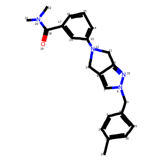 Cc1ccc(Cn2cc3c(n2)CN(c2cccc(C(=O)N(C)C)c2)C3)cc1